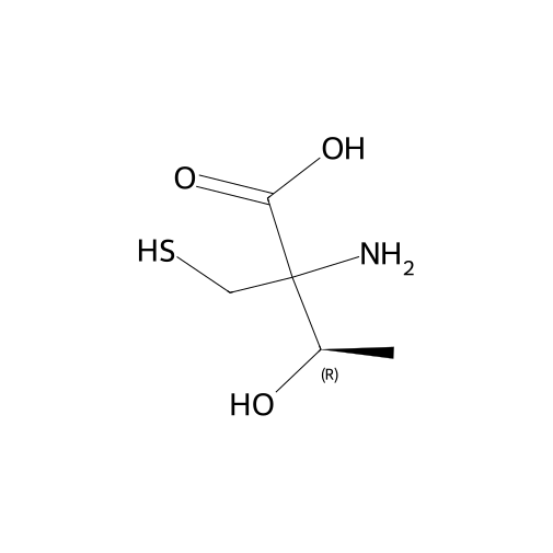 C[C@@H](O)C(N)(CS)C(=O)O